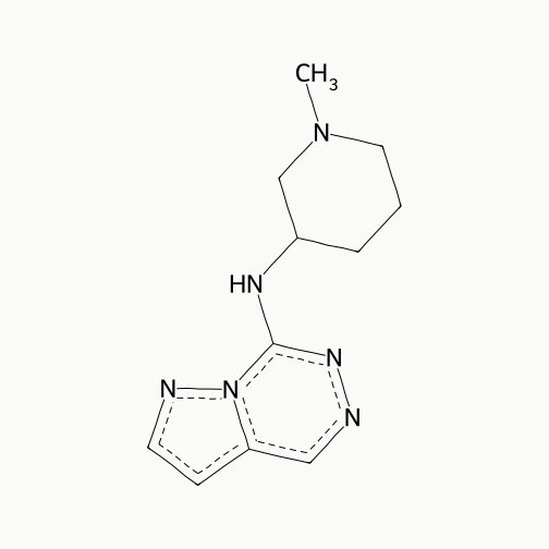 CN1CCCC(Nc2nncc3ccnn23)C1